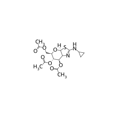 CC(=O)OC[C@H]1O[C@H]2SC(NC3CC3)=NC2[C@@H](OC(C)=O)[C@@H]1OC(C)=O